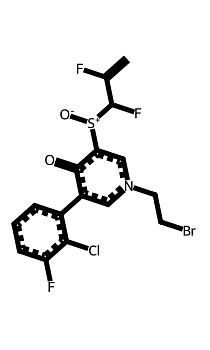 C=C(F)C(F)[S+]([O-])c1cn(CCBr)cc(-c2cccc(F)c2Cl)c1=O